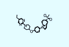 CCc1cnc(N2CCC(Oc3ccc(-n4ccc5cc(S(C)(=O)=O)ccc54)cc3)CC2)nc1